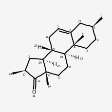 C[C@H]1CC[C@@]2(C)C(=CC[C@@H]3[C@@H]2CC[C@]2(C)C(=O)[C@@H](C)C[C@@H]32)C1